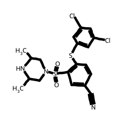 CC1CN(S(=O)(=O)c2cc(C#N)ccc2Sc2cc(Cl)cc(Cl)c2)CC(C)N1